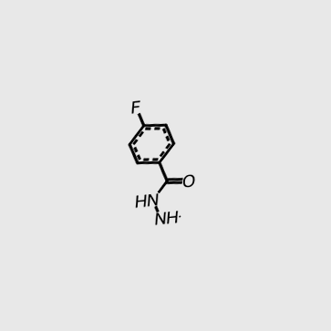 [NH]NC(=O)c1ccc(F)cc1